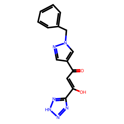 O=C(C=C(O)c1nn[nH]n1)c1cnn(Cc2ccccc2)c1